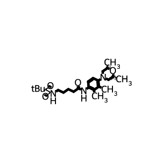 Cc1c(NC(=O)CCCCNS(=O)(=O)C(C)(C)C)ccc(N2C[C@@H](C)O[C@@H](C)C2)c1C